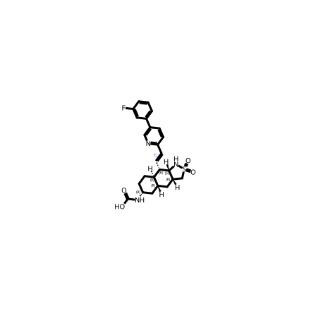 O=C(O)N[C@@H]1CC[C@@H]2[C@@H](C1)C[C@H]1CS(=O)(=O)N[C@H]1[C@H]2/C=C/c1ccc(-c2cccc(F)c2)cn1